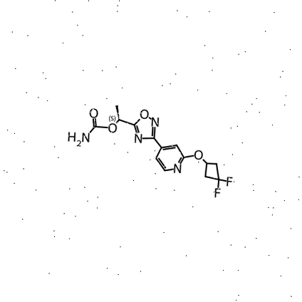 C[C@H](OC(N)=O)c1nc(-c2ccnc(OC3CC(F)(F)C3)c2)no1